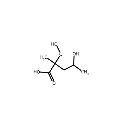 CC(O)CC(C)(OO)C(=O)O